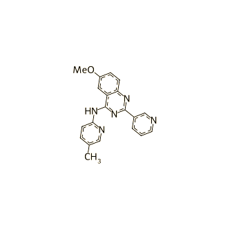 COc1ccc2nc(-c3cccnc3)nc(Nc3ccc(C)cn3)c2c1